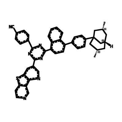 C[C@@H]1C[C@@H]2C[C@H](C)CC(c3ccc(-c4ccc(-c5nc(-c6ccc(C#N)cc6)nc(-c6cnc7c(c6)sc6ccncc67)n5)c5ccccc45)cc3)(C1)C2